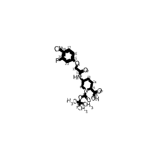 CC(C)(C)OC(=O)N1CC(NC(=O)COc2ccc(Cl)c(F)c2)CCC1C(=O)O